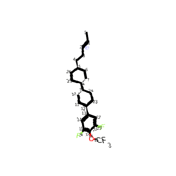 C/C=C/CC[C@H]1CC[C@H]([C@H]2CC[C@H](c3cc(F)c(OC(F)(F)F)c(F)c3)CC2)CC1